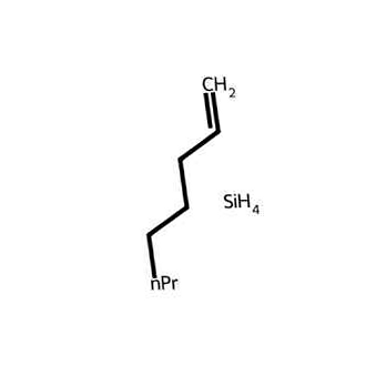 C=CCCCCCC.[SiH4]